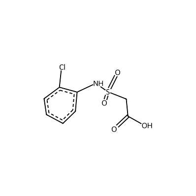 O=C(O)CS(=O)(=O)Nc1ccccc1Cl